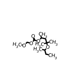 CCC(C)OC(C)(C)CC(C)OC(=O)OCOC